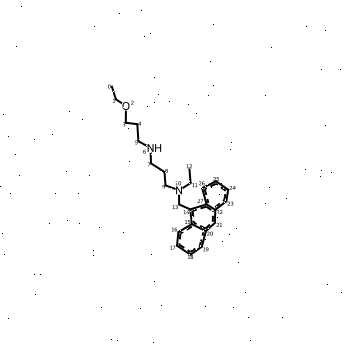 CCOCCCNCCCN(CC)Cc1c2ccccc2cc2ccccc12